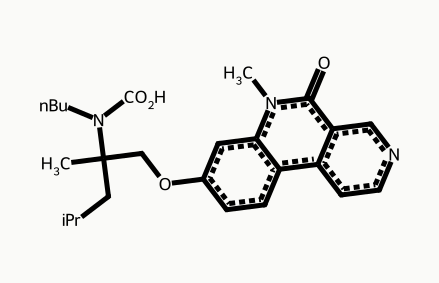 CCCCN(C(=O)O)C(C)(COc1ccc2c3ccncc3c(=O)n(C)c2c1)CC(C)C